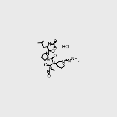 CC(C)CC(N=S(=O)=O)C(=O)N1CCC[C@H]1C(=O)N(C(=O)N(C)N=O)C1CCCN(C=NN)C1.Cl